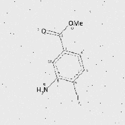 COC(=O)c1ccc(I)c(N)c1